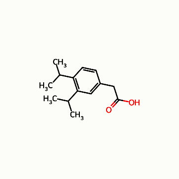 CC(C)c1ccc(CC(=O)O)cc1C(C)C